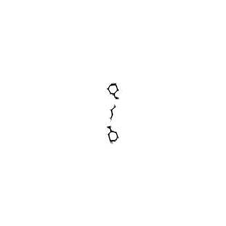 O=C(OCCCCOC(=O)C1CCC2OC2C1)C1CCC2OC2C1